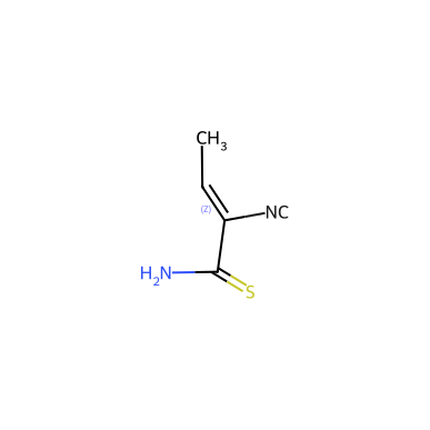 [C-]#[N+]/C(=C\C)C(N)=S